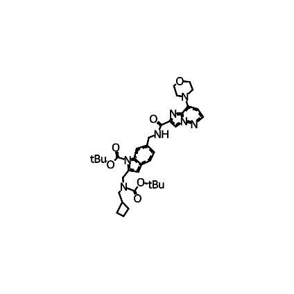 CC(C)(C)OC(=O)N(Cc1cc2ccc(CNC(=O)c3cn4nccc(N5CCOCC5)c4n3)cc2n1C(=O)OC(C)(C)C)CC1CCC1